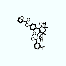 COc1cc(OC(=O)c2ccco2)ccc1C1=C(COC(=O)c2cccc(F)c2)C(C)(O)CC(C)(C)C1O